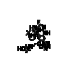 Cn1nnn(-c2cc(Nc3ncc(F)c(N[C@@H]4C[C@@H]5CCCN5C(C)(C)C4)n3)c(F)cc2OCCNC(=O)O)c1=O